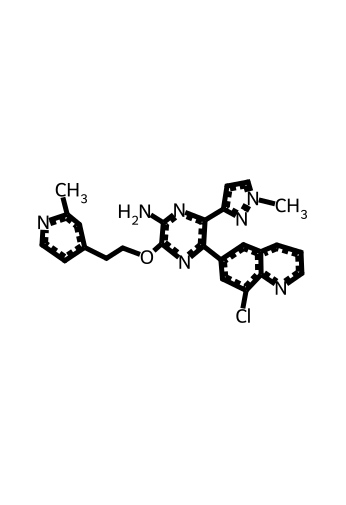 Cc1cc(CCOc2nc(-c3cc(Cl)c4ncccc4c3)c(-c3ccn(C)n3)nc2N)ccn1